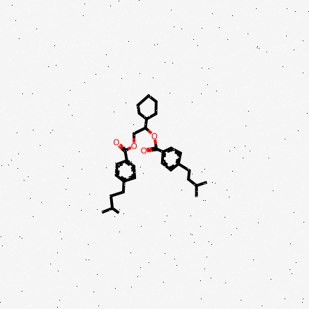 CC(C)CCc1ccc(C(=O)OCC(OC(=O)c2ccc(CCC(C)C)cc2)C2CCCCC2)cc1